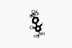 CS(=O)(=O)c1ccc(-c2c(Cl)cc(NS)cc2I)cc1